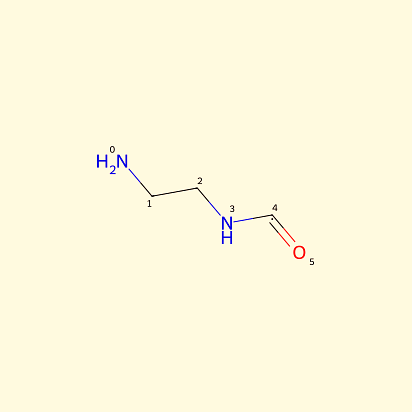 NCCN[C]=O